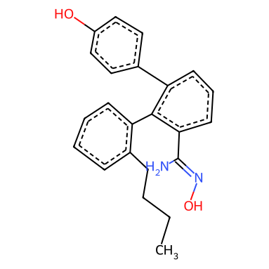 CCCCc1ccccc1-c1c(C(N)=NO)cccc1-c1ccc(O)cc1